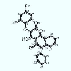 O=c1oc2c(c(O)c1Sc1ccc(F)cc1F)c(=O)n(-c1ccccc1)c1ccccc21